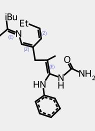 CC\C=C/C(=C\N=C(/C)C(C)CC)C/C(C)=C(/NC(N)=O)Nc1ccccc1